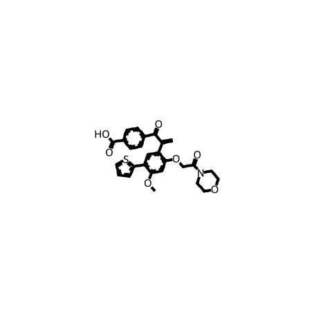 C=C(C(=O)c1ccc(C(=O)O)cc1)c1cc(-c2cccs2)c(OC)cc1OCC(=O)N1CCOCC1